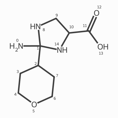 NC1(C2CCOCC2)NCC(C(=O)O)N1